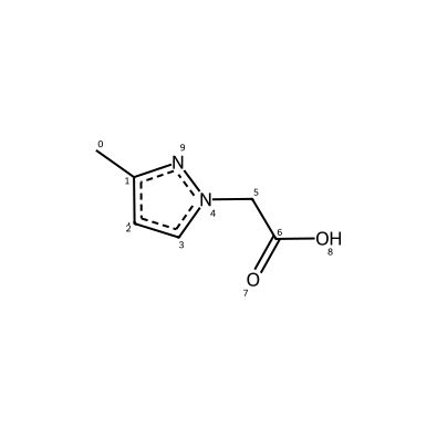 Cc1[c]cn(CC(=O)O)n1